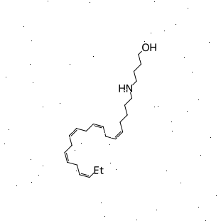 CC/C=C\C/C=C\C/C=C\C/C=C\C/C=C\CCCCNCCCCO